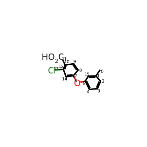 Cc1cccc(Oc2ccc(C(=O)O)c(Cl)c2)c1